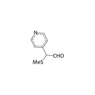 CSC(C=O)c1ccncc1